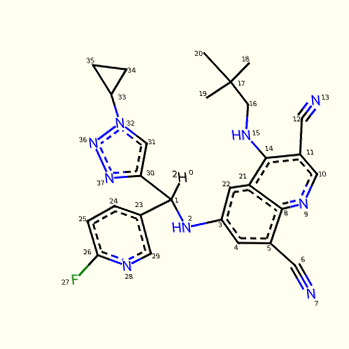 [2H]C(Nc1cc(C#N)c2ncc(C#N)c(NCC(C)(C)C)c2c1)(c1ccc(F)nc1)c1cn(C2CC2)nn1